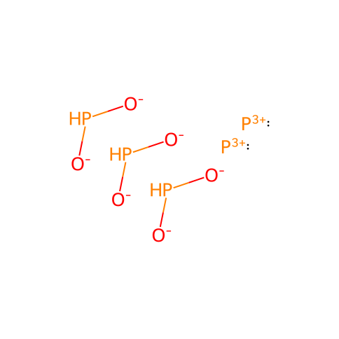 [O-]P[O-].[O-]P[O-].[O-]P[O-].[P+3].[P+3]